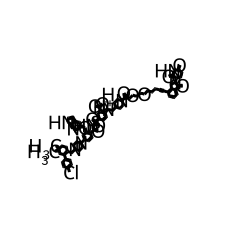 CC1(C)CCC(CN2CCN(c3ccc(C(=O)NS(=O)(=O)c4ccc(NCC5CCN(C(=O)COCCOCCCC#Cc6cccc7c6CN(C6CCC(=O)NC6=O)C7=O)CC5)c([N+](=O)[O-])c4)c(Oc4cnc5[nH]ccc5c4)c3)CC2)=C(c2ccc(Cl)cc2)C1